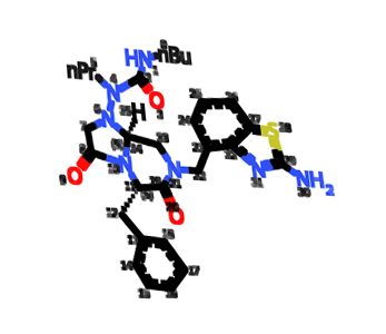 CCCCNC(=O)N(CCC)N1CC(=O)N2[C@@H](Cc3ccccc3)C(=O)N(Cc3cccc4sc(N)nc34)C[C@@H]21